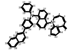 C=C1/C=C\C=C/N(c2cccc3c(N(c4ccccc4)c4ccc(-c5ccc6ccccc6c5)cc4)cccc23)c2ccccc21